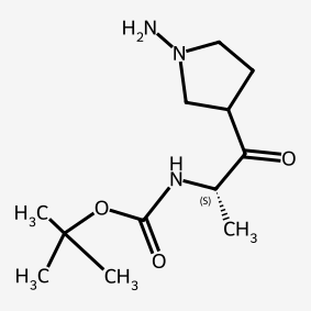 C[C@H](NC(=O)OC(C)(C)C)C(=O)C1CCN(N)C1